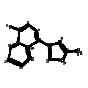 Nc1nc(-c2ccc(F)c3ccccc23)co1